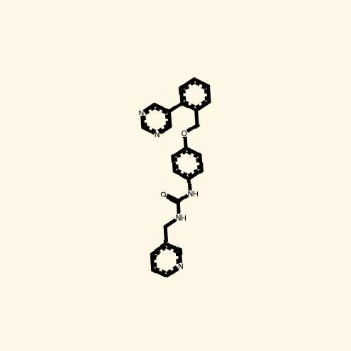 O=C(NCc1cccnc1)Nc1ccc(OCc2ccccc2-c2cncnc2)cc1